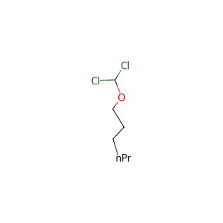 CCCCCCOC(Cl)Cl